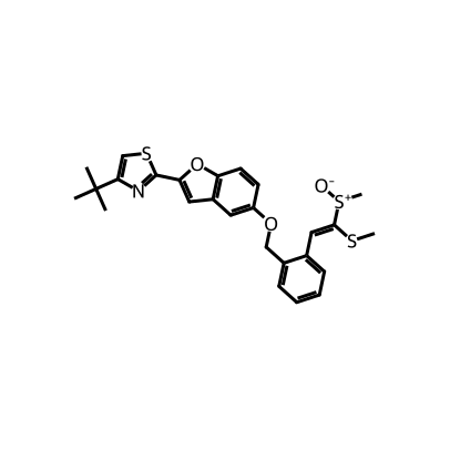 CS/C(=C\c1ccccc1COc1ccc2oc(-c3nc(C(C)(C)C)cs3)cc2c1)[S+](C)[O-]